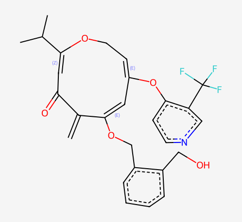 C=C1C(=O)/C=C(/C(C)C)OC/C=C(Oc2ccncc2C(F)(F)F)\C=C/1OCc1ccccc1CO